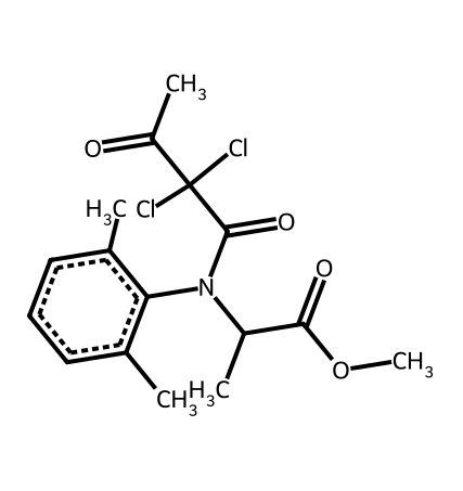 COC(=O)C(C)N(C(=O)C(Cl)(Cl)C(C)=O)c1c(C)cccc1C